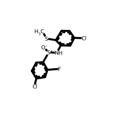 CSc1ccc(Cl)cc1N[S+]([O-])c1ccc(Cl)cc1F